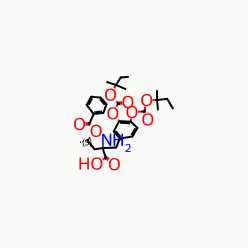 CCC(C)(C)OC(=O)Oc1ccc(CC(N)(C[C@H](C)OC(=O)c2ccccc2)C(=O)O)cc1OC(=O)OC(C)(C)CC